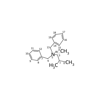 CC(C)[C@@H](C)N(Cc1ccccc1)Cc1ccccc1